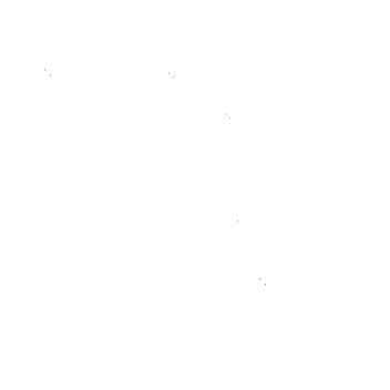 c1ccc2nc(N3CC(Oc4nccnc4-c4cccc5ncccc45)C3)ccc2c1